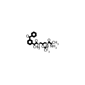 CC(C(=O)NCC(CNC(=O)[C@H](C)N)OC(=O)C(F)(F)F)c1cccc(C(=O)c2ccccc2)c1